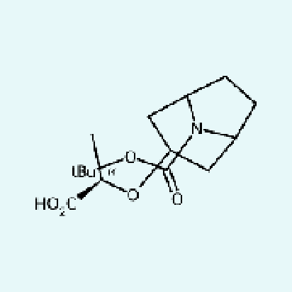 C[C@@H](OC1CC2CCC(C1)N2C(=O)OC(C)(C)C)C(=O)O